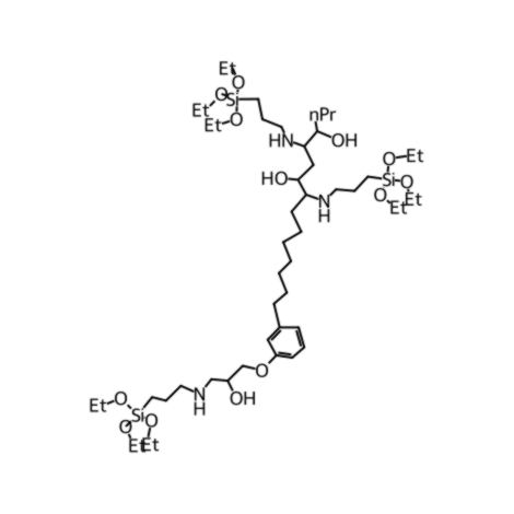 CCCC(O)C(CC(O)C(CCCCCCCc1cccc(OCC(O)CNCCC[Si](OCC)(OCC)OCC)c1)NCCC[Si](OCC)(OCC)OCC)NCCC[Si](OCC)(OCC)OCC